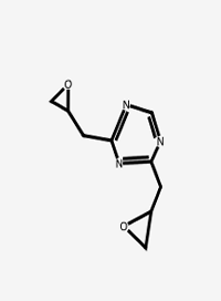 c1nc(CC2CO2)nc(CC2CO2)n1